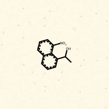 CC(O)c1cccc2cccc([N+](=O)[O-])c12